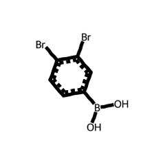 OB(O)c1ccc(Br)c(Br)c1